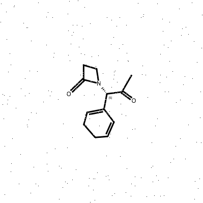 CC(=O)[C@H](C1=CCCC=C1)N1CCC1=O